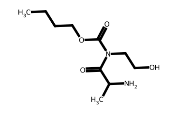 CCCCOC(=O)N(CCO)C(=O)C(C)N